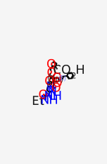 CCNC(=O)Nc1ccn([C@@H]2O[C@H](COCc3occc3C(=O)O)C3O[C@H](/C=C/c4ccccc4)OC32)c(=O)n1